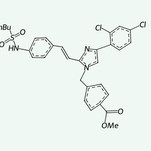 CCCCS(=O)(=O)Nc1ccc(C=Cc2nc(-c3ccc(Cl)cc3Cl)cn2Cc2ccc(C(=O)OC)cc2)cc1